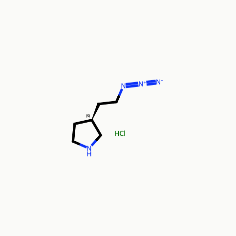 Cl.[N-]=[N+]=NCC[C@@H]1CCNC1